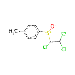 Cc1ccc([S+]([O-])C(Cl)C(Cl)Cl)cc1